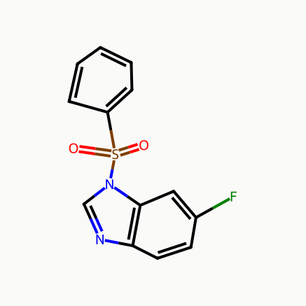 O=S(=O)(c1ccccc1)n1cnc2ccc(F)cc21